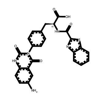 Nc1ccc2[nH]c(=O)n(-c3ccc(C[C@H](NC(=O)c4nc5ccccc5s4)C(=O)O)cc3)c(=O)c2c1